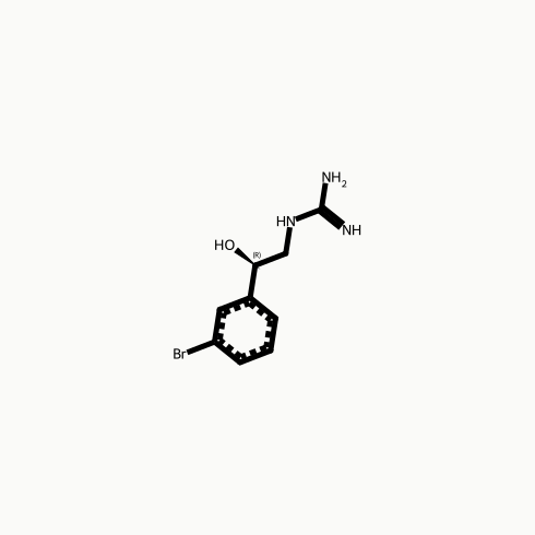 N=C(N)NC[C@H](O)c1cccc(Br)c1